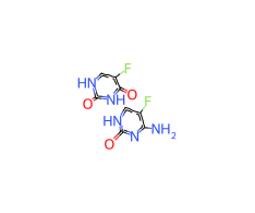 Nc1nc(=O)[nH]cc1F.O=c1[nH]cc(F)c(=O)[nH]1